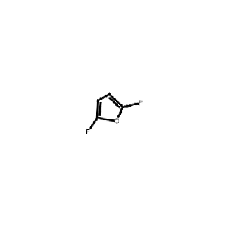 Fc1[c]cc(F)o1